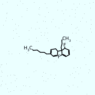 CCCCCCC1=CCC(C2(CCCC)C(F)=CC=CC2F)C=C1